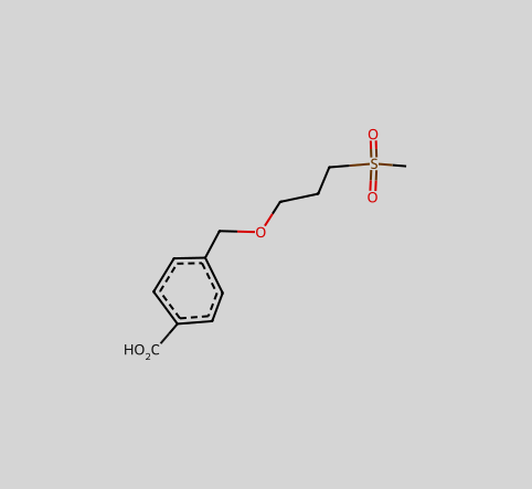 CS(=O)(=O)CCCOCc1ccc(C(=O)O)cc1